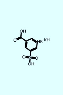 O=C(O)c1cccc(S(=O)(=O)O)c1.[KH].[KH]